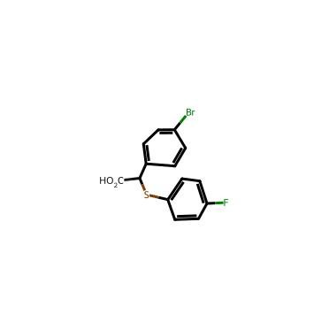 O=C(O)C(Sc1ccc(F)cc1)c1ccc(Br)cc1